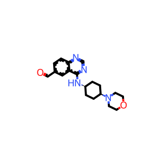 O=Cc1ccc2ncnc(N[C@H]3CC[C@H](N4CCOCC4)CC3)c2c1